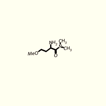 COCCC(N)C(=O)N(C)C